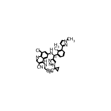 Cc1c(-c2ccn(C)n2)cccc1[C@H](Nc1cc(Cl)c2ncc(C#N)c(NCC(C)(C)C)c2c1)c1cn(C2(C(F)(F)F)CC2)nn1